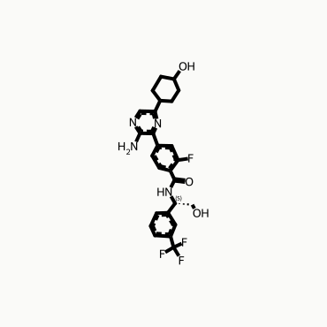 Nc1ncc(C2CCC(O)CC2)nc1-c1ccc(C(=O)N[C@H](CO)c2cccc(C(F)(F)F)c2)c(F)c1